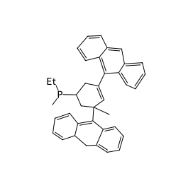 CCP(C)C1CC(c2c3ccccc3cc3ccccc23)=CC(C)(C2=C3C=CC=CC3Cc3ccccc32)C1